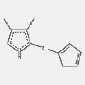 Cc1c[nH][c]([Ru][C]2=CC=CC2)c1C